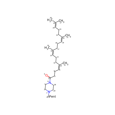 CCCCCN1CCN(C(=O)CCC=C(C)CCC=C(C)CCC=C(C)CCC=C(C)C)CC1